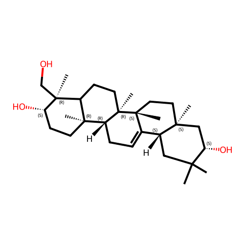 CC1(C)C[C@@H]2C3=CC[C@@H]4[C@@]5(C)CC[C@H](O)[C@@](C)(CO)C5CC[C@@]4(C)[C@]3(C)CC[C@@]2(C)C[C@@H]1O